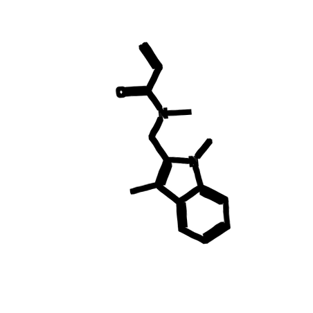 C=CC(=O)N(C)Cc1c(C)c2ccccc2n1C